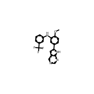 COc1ccc(-c2cc3cncnc3[nH]2)cc1Nc1cccc(C(F)(F)F)c1